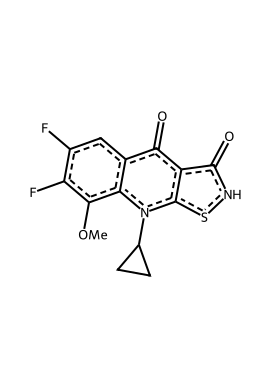 COc1c(F)c(F)cc2c(=O)c3c(=O)[nH]sc3n(C3CC3)c12